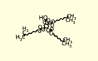 CC(C)CCCCCCOC(=O)OC1CC(OC(=O)OCCCCCCC(C)C)C(OC(=O)OCCCCCCC(C)C)CC1OC(=O)O